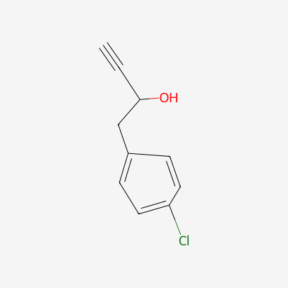 C#CC(O)Cc1ccc(Cl)cc1